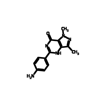 Cc1nn(C)c2c(=O)nc(-c3ccc(N)cc3)[nH]c12